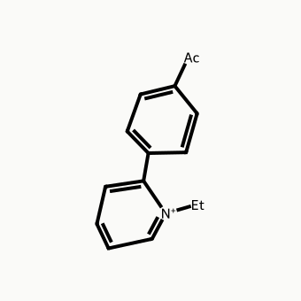 CC[n+]1ccccc1-c1ccc(C(C)=O)cc1